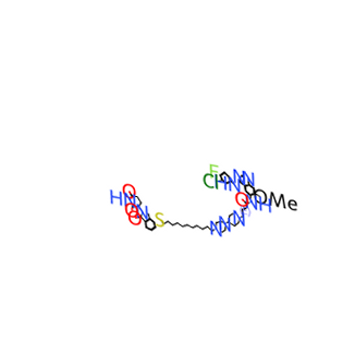 COc1cc2ncnc(Nc3ccc(F)c(Cl)c3)c2cc1NC(=O)/C=C/CN1CCC(N2CCN(CCCCCCCCCCCSc3cccc4c3CN(C3CCC(=O)NC3=O)C4=O)CC2)CC1